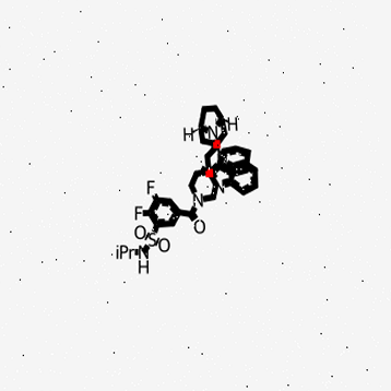 Cc1nc2ccccc2n1[C@H]1C[C@H]2CC[C@@H](C1)N2CCC1(c2ccccc2)CCN(C(=O)c2cc(F)c(F)c(S(=O)(=O)NC(C)C)c2)CC1